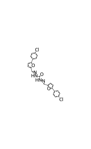 O=C(N/N=C/c1ccc(-c2ccc(Cl)cc2)o1)N/N=C/c1ccc(-c2ccc(Cl)cc2)o1